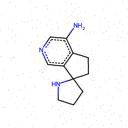 Nc1cncc2c1CCC21CCCN1